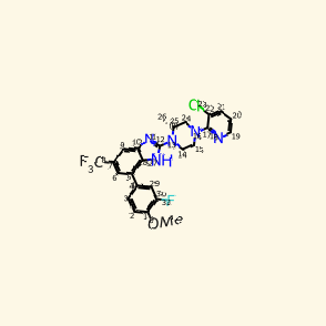 COc1ccc(-c2cc(C(F)(F)F)cc3nc(N4CCN(c5ncccc5Cl)C[C@H]4C)[nH]c23)cc1F